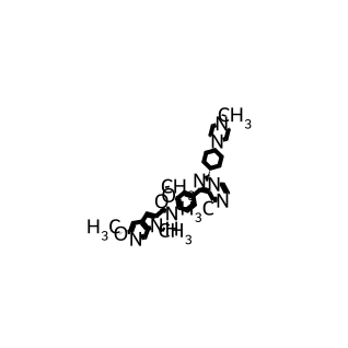 COc1cc2cc(C(=O)Nc3ccc(-c4nc([C@H]5CC[C@H](N6CCN(C)CC6)CC5)n5ccnc(C)c45)cc3OC)n(C)c2cn1